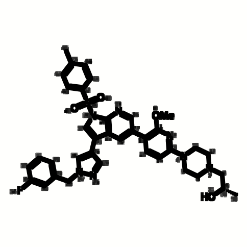 COc1nc(N2CCN(C[C@H](C)O)CC2)ccc1-c1cnc2c(c1)c(-c1cnn(Cc3cccc(F)c3)c1)cn2S(=O)(=O)c1ccc(C)cc1